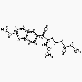 CON=C(CCCC(=O)OC)C(=O)c1ccc2cc(OC)ccc2c1